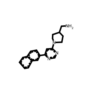 NCC1CCN(c2cc(-c3ccc4ccccc4c3)ncn2)CC1